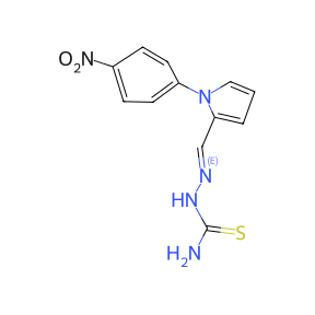 NC(=S)N/N=C/c1cccn1-c1ccc([N+](=O)[O-])cc1